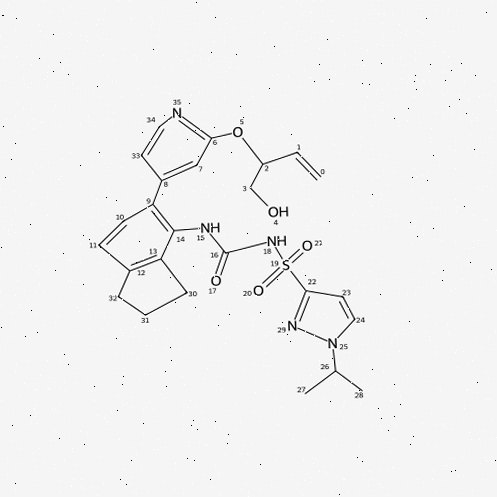 C=CC(CO)Oc1cc(-c2ccc3c(c2NC(=O)NS(=O)(=O)c2ccn(C(C)C)n2)CCC3)ccn1